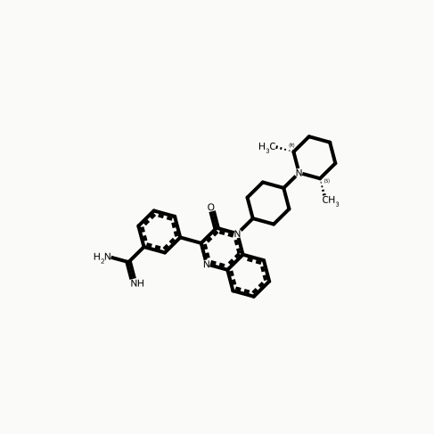 C[C@@H]1CCC[C@H](C)N1C1CCC(n2c(=O)c(-c3cccc(C(=N)N)c3)nc3ccccc32)CC1